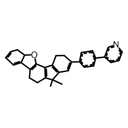 CC1(C)C2=C(CCC(c3ccc(-c4cccnc4)cc3)=C2)C2=C1CCC1=C2OC2CC=CC=C12